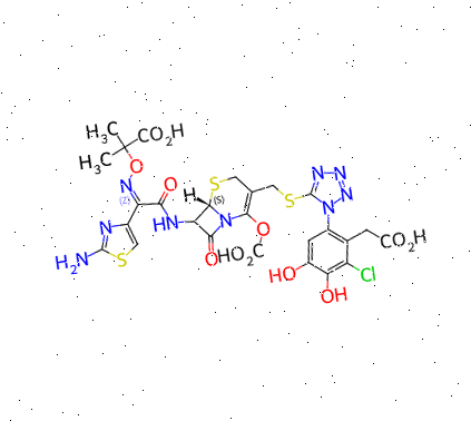 CC(C)(O/N=C(\C(=O)NC1C(=O)N2C(OC(=O)O)=C(CSc3nnnn3-c3cc(O)c(O)c(Cl)c3CC(=O)O)CS[C@@H]12)c1csc(N)n1)C(=O)O